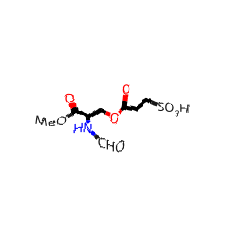 COC(=O)C(COC(=O)CCS(=O)(=O)O)NC=O